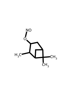 CC1C(ON=O)CC2CC1C2(C)C